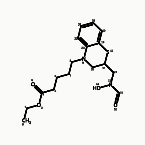 CCOC(=O)CCCCN1CC(CN(O)C=O)Sc2ccccc21